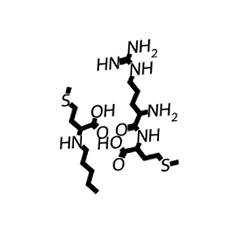 CCCCCNC(CCSC)C(=O)O.CSCCC(NC(=O)C(N)CCCNC(=N)N)C(=O)O